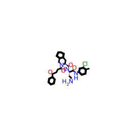 Cc1ccc(NC(=O)[C@H](CCN)NC(=O)[C@@H]2Cc3ccccc3CN2C(=O)CCC(=O)c2ccccc2)cc1Cl